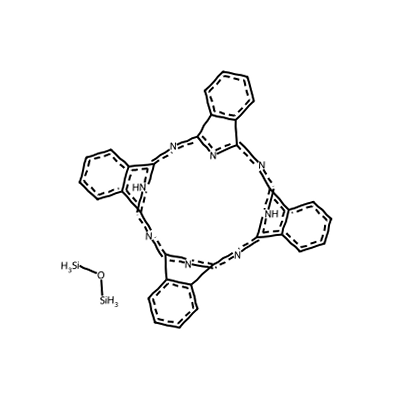 [SiH3]O[SiH3].c1ccc2c(c1)-c1nc-2nc2[nH]c(nc3nc(nc4[nH]c(n1)c1ccccc41)-c1ccccc1-3)c1ccccc21